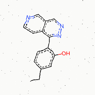 CCc1ccc(-c2nncc3cnccc23)c(O)c1